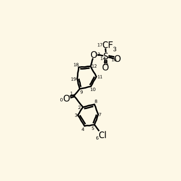 O=C(c1ccc(Cl)cc1)c1ccc(OS(=O)(=O)C(F)(F)F)cc1